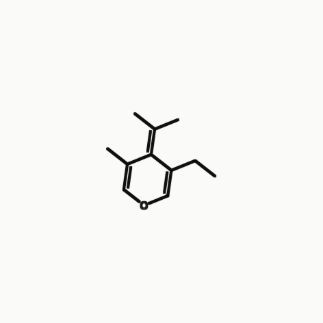 CCC1=COC=C(C)C1=C(C)C